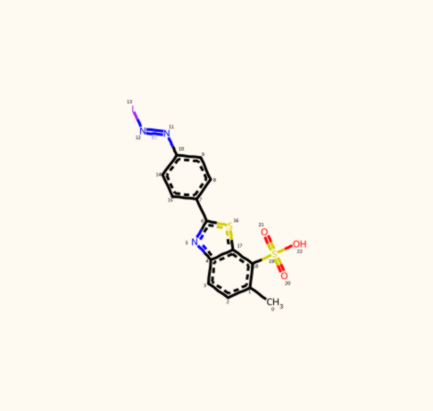 Cc1ccc2nc(-c3ccc(/N=N/I)cc3)sc2c1S(=O)(=O)O